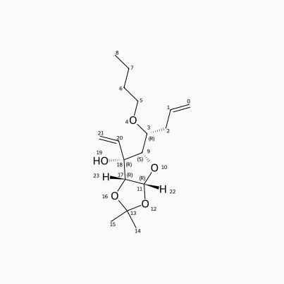 C=CC[C@@H](OCCCC)[C@@H]1O[C@@H]2OC(C)(C)O[C@@H]2[C@@]1(O)C=C